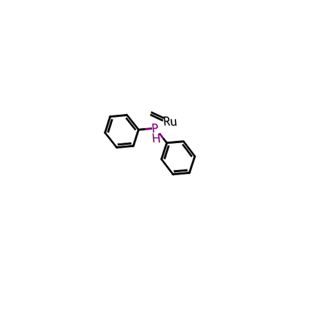 [CH2]=[Ru].c1ccc(Pc2ccccc2)cc1